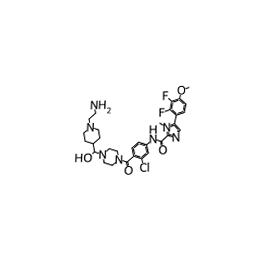 COc1ccc(-c2cnc(C(=O)Nc3ccc(C(=O)N4CCN(C(O)C5CCN(CCN)CC5)CC4)c(Cl)c3)n2C)c(F)c1F